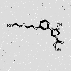 CC(C)(C)OC(=O)N1C[C@@H](C#N)[C@H](c2cccc(OCCOCCO)c2)C1